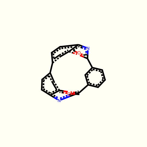 c1cc2cc(c1)-c1nc3ccc(cc3o1)-c1ccc3nc-2oc3c1